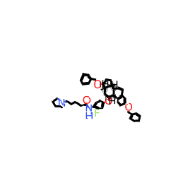 C[C@]12C[C@H](Oc3ccc(NC(=O)CCCCN4CCCC4)c(F)c3)[C@@H]3c4ccc(OCc5ccccc5)cc4CC[C@H]3[C@@H]1CC[C@@H]2OCc1ccccc1